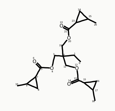 CCC(COC(=O)C1CC1C)(COC(=O)C1CC1C)COC(=O)C1CC1C